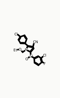 CCOCn1c([S+]([O-])c2ccc(F)c(Cl)c2)cc(C#N)c1-c1ccc(Cl)cc1